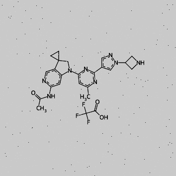 CC(=O)Nc1cc2c(cn1)C1(CC1)CN2c1cc(C)nc(-c2cnn(C3CNC3)c2)n1.O=C(O)C(F)(F)F